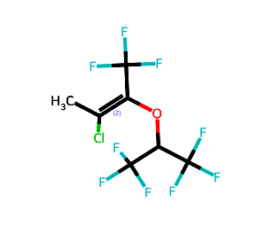 C/C(Cl)=C(/OC(C(F)(F)F)C(F)(F)F)C(F)(F)F